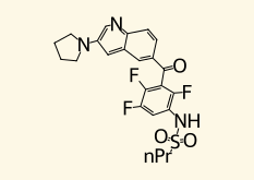 CCCS(=O)(=O)Nc1cc(F)c(F)c(C(=O)c2ccc3ncc(N4CCCC4)cc3c2)c1F